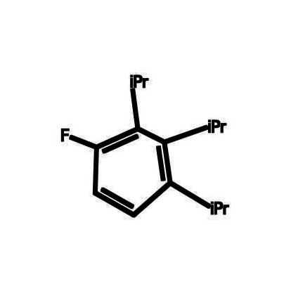 CC(C)c1ccc(F)c(C(C)C)c1C(C)C